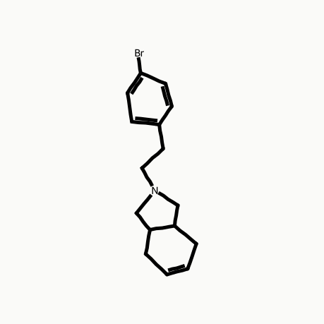 Brc1ccc(CCN2CC3CC=CCC3C2)cc1